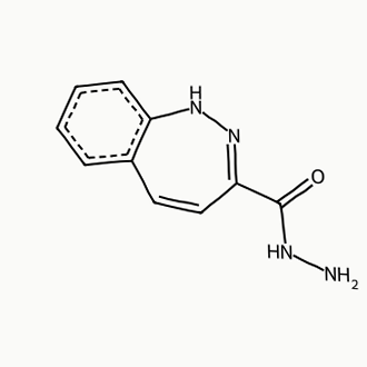 NNC(=O)C1=NNc2ccccc2C=C1